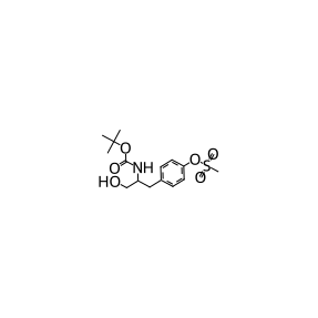 CC(C)(C)OC(=O)NC(CO)Cc1ccc(OS(C)(=O)=O)cc1